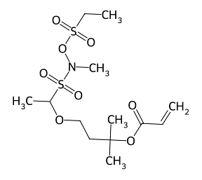 C=CC(=O)OC(C)(C)CCOC(C)S(=O)(=O)N(C)OS(=O)(=O)CC